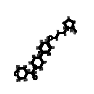 C[C@@H]1CCCN1CCCOc1ccc(C2CCN(C(=O)C3CCOCC3)CC2)cc1